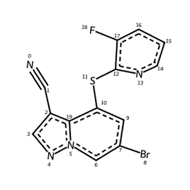 N#Cc1cnn2cc(Br)cc(Sc3ncccc3F)c12